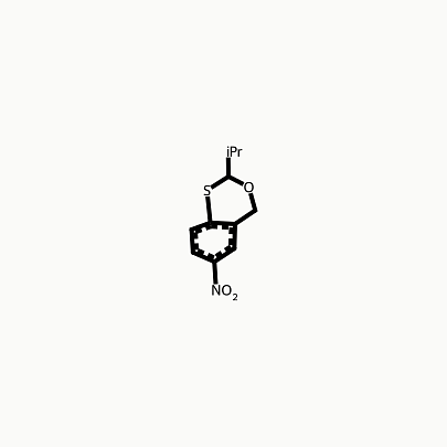 CC(C)C1OCc2cc([N+](=O)[O-])ccc2S1